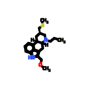 CCCN1C[C@H](CSC)C[C@@H]2c3cccc4[nH]c(COC)c(c34)C[C@H]21